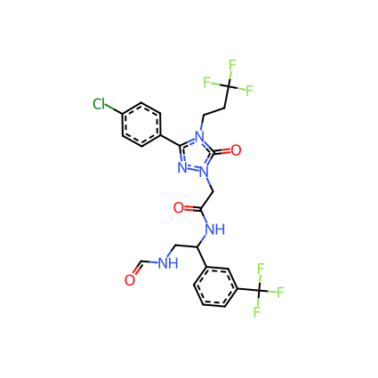 O=CNCC(NC(=O)Cn1nc(-c2ccc(Cl)cc2)n(CCC(F)(F)F)c1=O)c1cccc(C(F)(F)F)c1